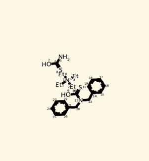 CC[N+](CC)(CC)CC.NC(O)=S.OC(=S)N(Cc1ccccc1)Cc1ccccc1